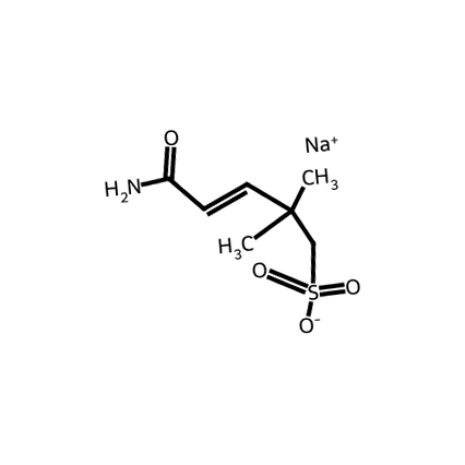 CC(C)(C=CC(N)=O)CS(=O)(=O)[O-].[Na+]